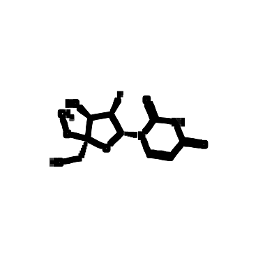 CO[C@]1(CO)O[C@@H](n2ccc(=O)[nH]c2=O)[C@H](F)[C@@H]1O